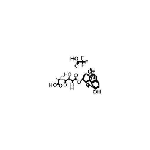 C[C@H](OC(=O)[C@H](O)[C@@H](O)C(=O)OC1=CC[C@@]2(O)[C@H]3Cc4ccc(O)c5c4[C@@]2(CCN3C)[C@H]1O5)C(=O)O.O=C(O)C(F)(F)F